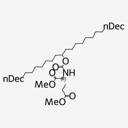 CCCCCCCCCCCCCCCCCCC(CCCCCCCCCCCCCCCCC)OC(=O)N[C@H](CCC(=O)OC)C(=O)OC